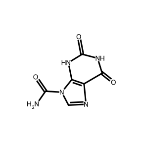 NC(=O)n1cnc2c(=O)[nH]c(=O)[nH]c21